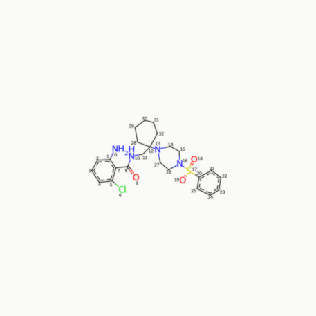 Nc1cccc(Cl)c1C(=O)NCC1(N2CCN(S(=O)(=O)c3ccccc3)CC2)CCCCC1